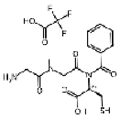 NCC(=O)NCC(=O)N(C(=O)c1ccccc1)[C@@H](CS)C(=O)O.O=C(O)C(F)(F)F